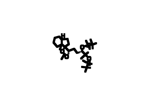 CC(=O)O[C@@]1([C@@H](C)CC[C@H](O[Si](C)(C)C(C)(C)C)C(C)(C)O[Si](C)(C)C(C)(C)C)CC[C@@H]2CCCC[C@]21C